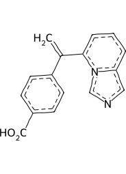 C=C(c1ccc(C(=O)O)cc1)c1cccc2cncn12